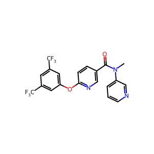 CN(C(=O)c1ccc(Oc2cc(C(F)(F)F)cc(C(F)(F)F)c2)nc1)c1cccnc1